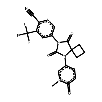 Cn1cc(N2C(=S)N(c3cnc(C#N)c(C(F)(F)F)c3)C(=O)C23CCC3)ccc1=O